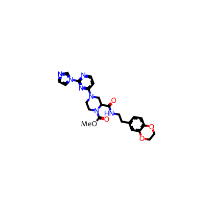 COC(=O)N1CCN(c2ccnc(-n3ccnc3)n2)CC1C(=O)NCCc1ccc2c(c1)OCCO2